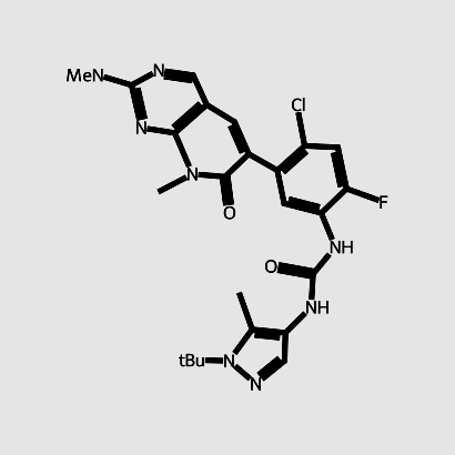 CNc1ncc2cc(-c3cc(NC(=O)Nc4cnn(C(C)(C)C)c4C)c(F)cc3Cl)c(=O)n(C)c2n1